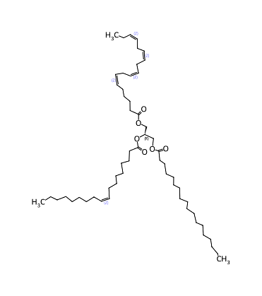 CC/C=C\C/C=C\C/C=C\C/C=C\CCCCC(=O)OC[C@@H](COC(=O)CCCCCCCCCCCCCCCCC)OC(=O)CCCCCCC/C=C\CCCCCCCC